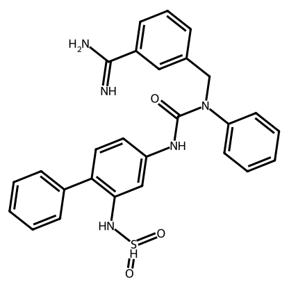 N=C(N)c1cccc(CN(C(=O)Nc2ccc(-c3ccccc3)c(N[SH](=O)=O)c2)c2ccccc2)c1